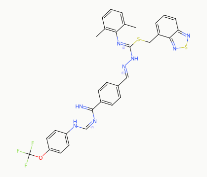 Cc1cccc(C)c1/N=C(/N/N=C/c1ccc(C(=N)/N=C\Nc2ccc(OC(F)(F)F)cc2)cc1)SCc1cccc2nsnc12